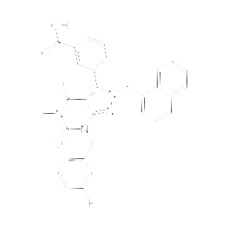 Cn1c(=O)c2c(-c3cccc(C(=O)O)c3)n(Cc3cccc4ccccc34)nc2n(Cc2cccc(F)c2)c1=O